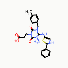 Cc1ccc(CN2C(=O)N(CCC(=O)O)C(=O)N(N)C2NC2=CNC(c3ccccc3)S2)cc1